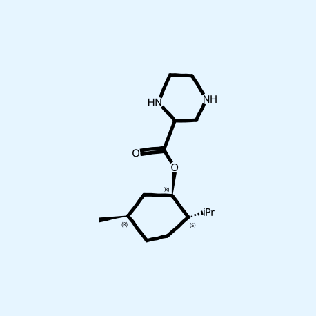 CC(C)[C@@H]1CC[C@@H](C)C[C@H]1OC(=O)C1CNCCN1